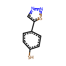 Sc1ccc(-c2cnns2)cc1